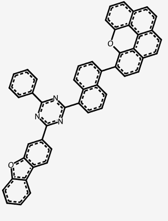 c1ccc(-c2nc(-c3ccc4c(c3)oc3ccccc34)nc(-c3cccc4c(-c5ccc6ccc7ccc8cccc9c8c7c6c5O9)cccc34)n2)cc1